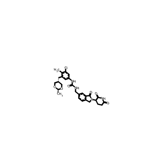 Cc1c(Cl)cc(NC(=O)NCc2ccc3c(c2)C(=O)N(C2CCC(=O)NC2=O)C3)cc1C[C@H]1CO[C@H](C)OC1